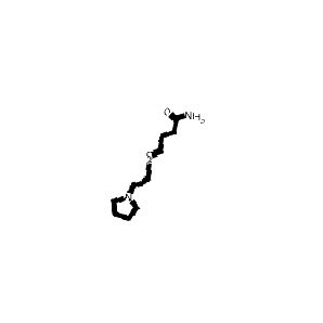 NC(=O)CCCSCCN1CCCC1